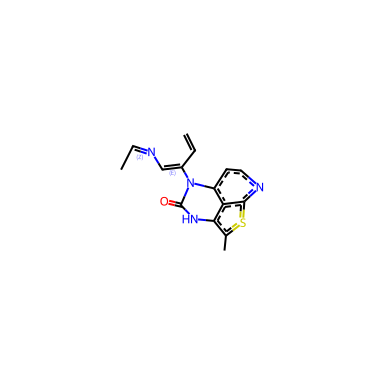 C=C/C(=C\N=C/C)N1C(=O)Nc2c(C)sc3nccc1c23